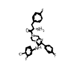 N[C@@H](Cc1ccc(F)cc1)C(=O)N1CCn2c(nc(-c3ccc(F)cc3)c2Nc2ccc(Cl)c(F)c2)C1